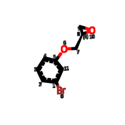 Brc1cccc(OC[C@H]2CO2)c1